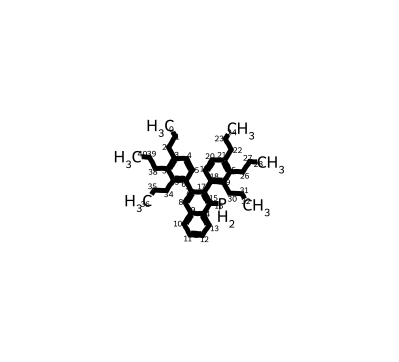 CCCc1ccc(-c2cc3ccccc3c(P)c2-c2ccc(CCC)c(CCC)c2CCC)c(CCC)c1CCC